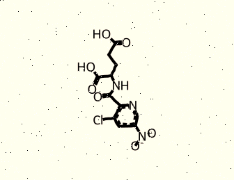 O=C(O)CCC(NC(=O)c1ncc([N+](=O)[O-])cc1Cl)C(=O)O